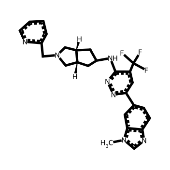 Cn1cnc2ccc(-c3cc(C(F)(F)F)c(NC4C[C@@H]5CN(Cc6ccccn6)C[C@@H]5C4)nn3)cc21